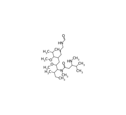 CCC(C)C(C(CC(CCCNC=O)C(OC)C(C)C)OC)N(C)C(=O)CC(NC)C(C)C